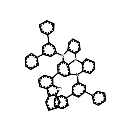 c1ccc(-c2cc(-c3ccccc3)cc(N3c4ccccc4B4c5ccccc5N(c5cc(-c6ccccc6)cc(-c6ccccc6)c5)c5cc(-c6cccc7c6oc6ccccc67)cc3c54)c2)cc1